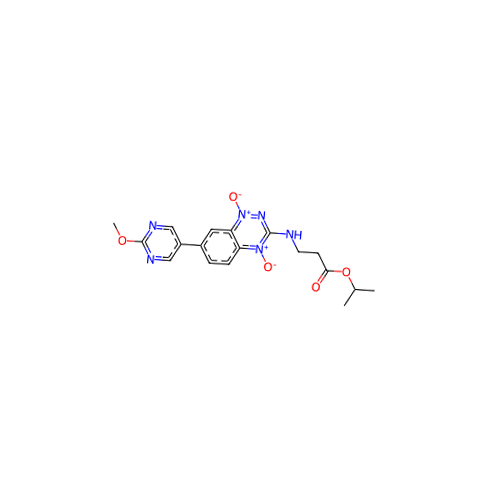 COc1ncc(-c2ccc3c(c2)[n+]([O-])nc(NCCC(=O)OC(C)C)[n+]3[O-])cn1